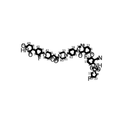 N#Cc1c(NS(=O)(=O)N2CC[C@@H](F)C2)ccc(F)c1Oc1ccc2ncn(-c3ccc(N4CCN(C(=O)CC5(O)CCN(c6ccc(C7CCC(=O)NC7=O)cc6F)CC5)CC4)cc3)c(=O)c2c1